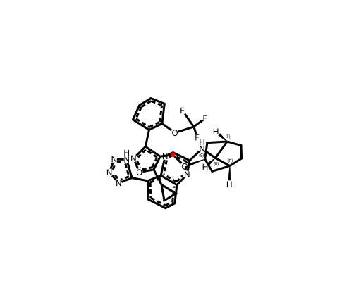 FC(F)(F)Oc1ccccc1-c1noc(C2CC2)c1CO[C@@H]1C[C@H]2CC[C@@H](C1)[C@H]2Nc1cnc2c(-c3nnn[nH]3)cccc2n1